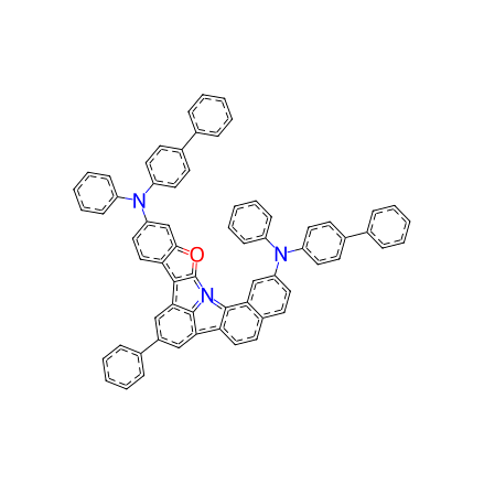 c1ccc(-c2ccc(N(c3ccccc3)c3ccc4c(c3)oc3c4c4cc(-c5ccccc5)cc5c6ccc7ccc(N(c8ccccc8)c8ccc(-c9ccccc9)cc8)cc7c6n3c54)cc2)cc1